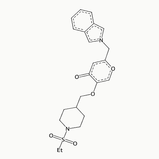 CCS(=O)(=O)N1CCC(COc2coc(Cn3cc4ccccc4c3)cc2=O)CC1